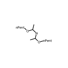 CCCCCOC(C)[N]C(C)OCCCCC